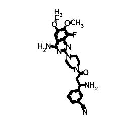 COc1cc2c(N)nc(N3CCN(C(=O)CC(N)c4cccc(C#N)c4)CC3)nc2c(F)c1OC